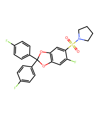 O=S(=O)(c1cc2c(cc1F)OC(c1ccc(F)cc1)(c1ccc(F)cc1)O2)N1CCCC1